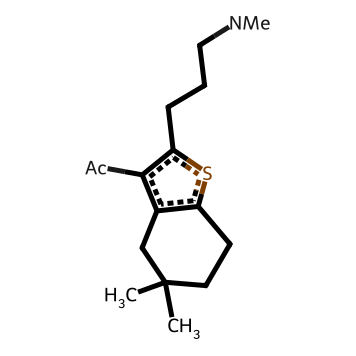 CNCCCc1sc2c(c1C(C)=O)CC(C)(C)CC2